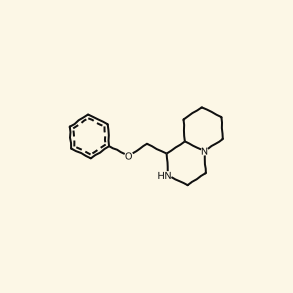 c1ccc(OCC2NCCN3CCCCC23)cc1